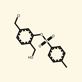 Cc1ccc(S(=O)(=O)Oc2cc(CCl)ccc2CO)cc1